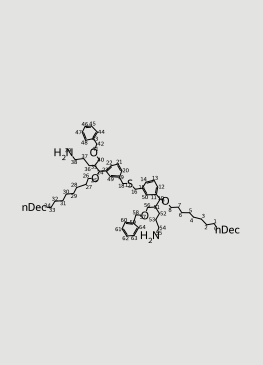 CCCCCCCCCCCCCCCCCCOC(c1cccc(CSCc2cccc(C(OCCCCCCCCCCCCCCCCCC)C(CCCN)COCc3ccccc3)c2)c1)C(CCCN)COCc1ccccc1